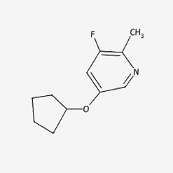 Cc1ncc(OC2CCCC2)cc1F